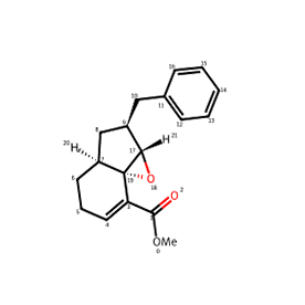 COC(=O)C1=CCC[C@H]2C[C@@H](Cc3ccccc3)[C@@H]3O[C@]123